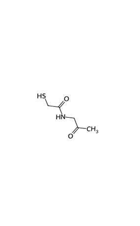 CC(=O)CNC(=O)CS